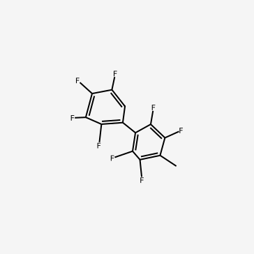 Cc1c(F)c(F)c(-c2cc(F)c(F)c(F)c2F)c(F)c1F